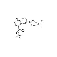 CC(C)(C)OC(=O)c1ccnc2ccc(N3CC4C(C3)C4(F)F)cc12